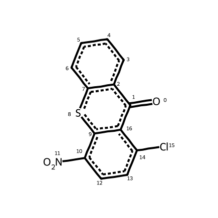 O=c1c2ccccc2sc2c([N+](=O)[O-])ccc(Cl)c12